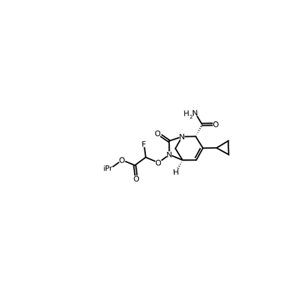 CC(C)OC(=O)C(F)ON1C(=O)N2C[C@H]1C=C(C1CC1)[C@H]2C(N)=O